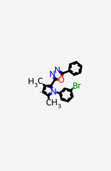 Cc1[c]c(C)n(-c2cccc(Br)c2)c1-c1nnc(-c2ccccc2)o1